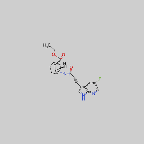 CCOC(=O)[C@@H]1C2CCC(CC2)[C@H]1NC(=O)C#Cc1c[nH]c2ncc(F)cc12